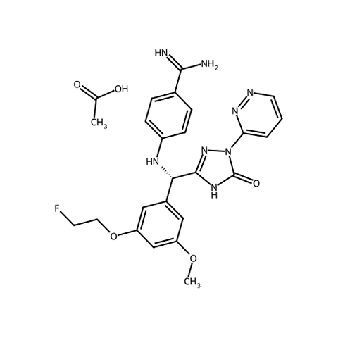 CC(=O)O.COc1cc(OCCF)cc([C@H](Nc2ccc(C(=N)N)cc2)c2nn(-c3cccnn3)c(=O)[nH]2)c1